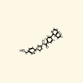 O=C(N[C@H]1CCN(c2ccc(CO)cn2)C1)c1ccc(-c2nccc3occc23)cc1